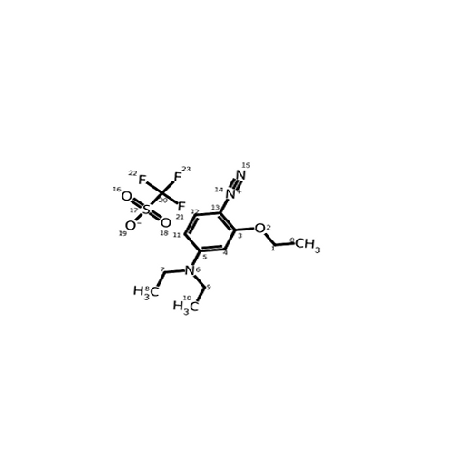 CCOc1cc(N(CC)CC)ccc1[N+]#N.O=S(=O)([O-])C(F)(F)F